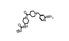 CC(C)(C)C(=O)NC1CCN(C(=O)C2CCN(Cc3ccnc(N)c3)CC2)CC1